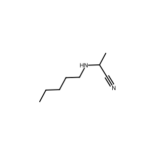 CCCCCNC(C)C#N